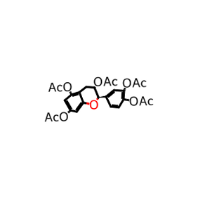 CC(=O)Oc1cc(OC(C)=O)c2c(c1)O[C@H](c1ccc(OC(C)=O)c(OC(C)=O)c1)[C@H](OC(C)=O)C2